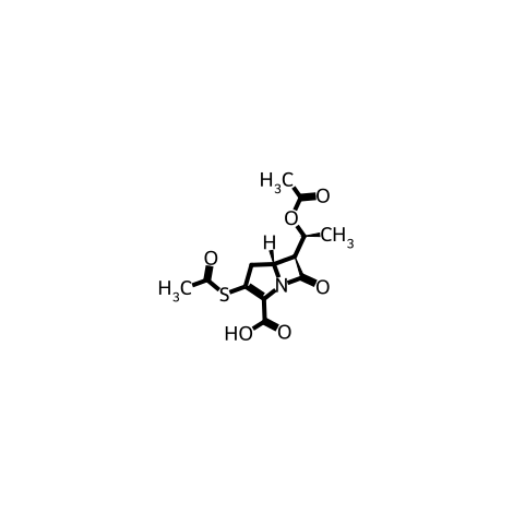 CC(=O)O[C@@H](C)[C@H]1C(=O)N2C(C(=O)O)=C(SC(C)=O)C[C@H]12